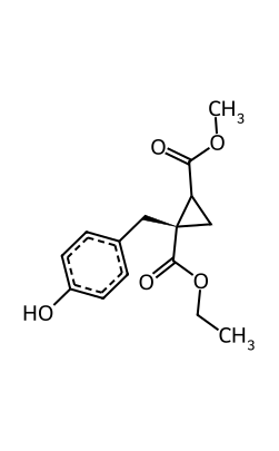 CCOC(=O)[C@@]1(Cc2ccc(O)cc2)CC1C(=O)OC